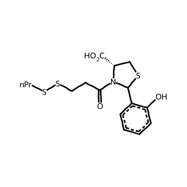 CCCSSCCC(=O)N1C(c2ccccc2O)SC[C@H]1C(=O)O